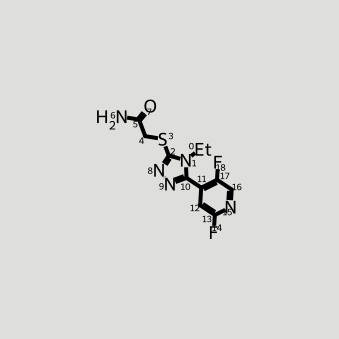 CCn1c(SCC(N)=O)nnc1-c1cc(F)ncc1F